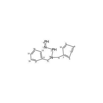 P=NPN(Cc1ccccc1)Cc1ccccc1